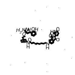 Nc1nnc(-c2ccccc2O)cc1OCCC12CCC1C(NC(=O)CCCCCCCCNc1ccc3c(c1)C(=O)N(C1CCC(=O)NC1=O)C3=O)C2